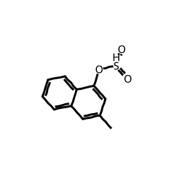 Cc1cc(O[SH](=O)=O)c2ccccc2c1